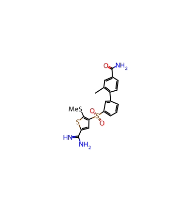 CSc1sc(C(=N)N)cc1S(=O)(=O)c1cccc(-c2ccc(C(N)=O)cc2C)c1